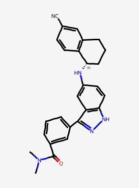 CN(C)C(=O)c1cccc(-c2n[nH]c3ccc(N[C@H]4CCCc5cc(C#N)ccc54)cc23)c1